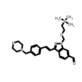 C[Si](C)(C)CCOCn1nc(/C=C/c2ccc(CN3CCOCC3)cc2)c2ccc(C=O)cc21